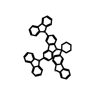 c1ccc2c(c1)sc1ccc(C3(n4c5ccc(-n6c7ccccc7c7ccccc76)cc5c5cc(-n6c7ccccc7c7ccccc76)ccc54)CCCCC3)cc12